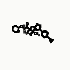 CC(CC1CC(c2ccc(C3CC3)cc2)=NO1)(C(=O)NOC1CCCCO1)S(C)(=O)=O